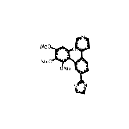 COc1cc(C=O)c(-c2cc(-c3nccs3)ccc2-c2ccncc2)c(OC)c1OC